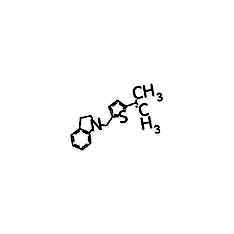 C[C](C)c1ccc(CN2CCc3ccccc32)s1